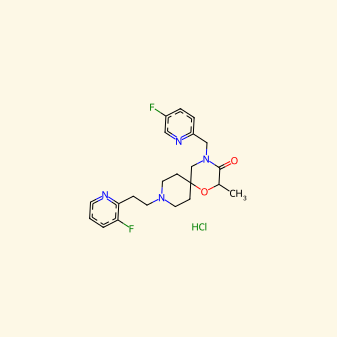 CC1OC2(CCN(CCc3ncccc3F)CC2)CN(Cc2ccc(F)cn2)C1=O.Cl